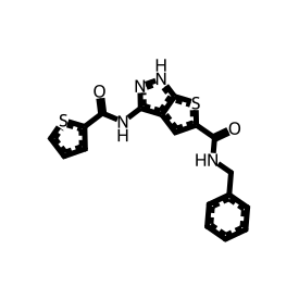 O=C(Nc1n[nH]c2sc(C(=O)NCc3ccccc3)cc12)c1cccs1